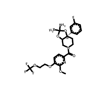 BC1(B)OC2CN(C(=O)c3ccc(OCCOC(F)(F)F)c(OC)n3)CC[C@]2(c2cccc(F)c2)O1